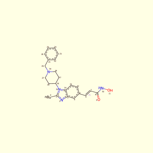 CCCCc1nc2cc(/C=C/C(=O)NO)ccc2n1C1CCN(Cc2ccccc2)CC1